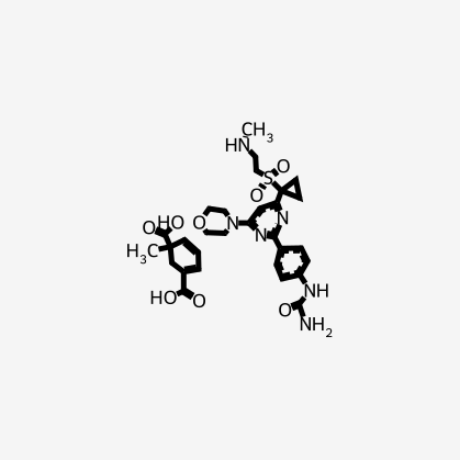 CC1(C(=O)O)C=CC=C(C(=O)O)C1.CNCCS(=O)(=O)C1(c2cc(N3CCOCC3)nc(-c3ccc(NC(N)=O)cc3)n2)CC1